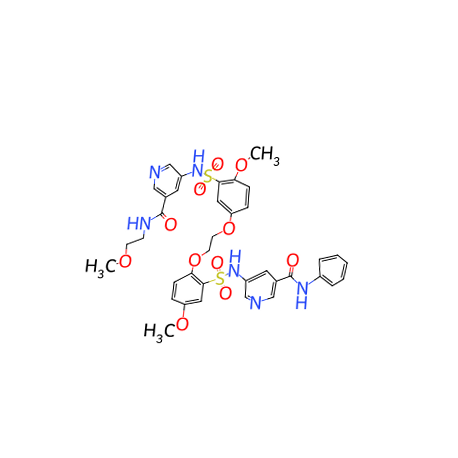 COCCNC(=O)c1cncc(NS(=O)(=O)c2cc(OCCOc3ccc(OC)cc3S(=O)(=O)Nc3cncc(C(=O)Nc4ccccc4)c3)ccc2OC)c1